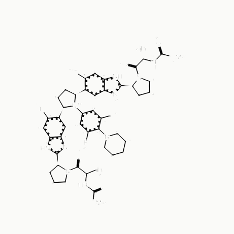 COC(=O)NC(C(=O)N1CCC[C@H]1c1nc2cc([C@H]3CC[C@@H](c4cc5nc([C@@H]6CCCN6C(=O)[C@@H](NC(=O)OC)C(C)C)[nH]c5cc4F)N3c3cc(F)c(N4CCCCC4)c(F)c3)c(F)cc2[nH]1)C(C)C